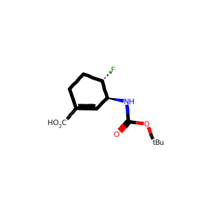 CC(C)(C)OC(=O)N[C@H]1C=C(C(=O)O)CC[C@@H]1F